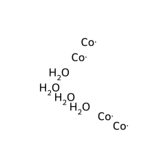 O.O.O.O.[Co].[Co].[Co].[Co]